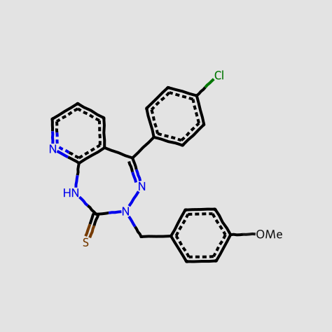 COc1ccc(CN2N=C(c3ccc(Cl)cc3)c3cccnc3NC2=S)cc1